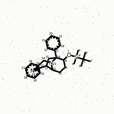 CC(C)(C)[Si](C)(C)OC1CCC2C(C#N)CC1(c1ccccc1)N2Cc1ccccc1